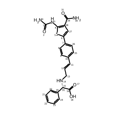 NC(=O)Nc1sc(-c2ccc(C=CCN[C@H](C(=O)O)c3ccccc3)cc2)cc1C(N)=O